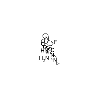 NC[C@H](NS(=O)(=O)c1cc(F)cc(N2CCCCC2=O)c1Cl)C(=O)N1CCN(C2CC2)CC1